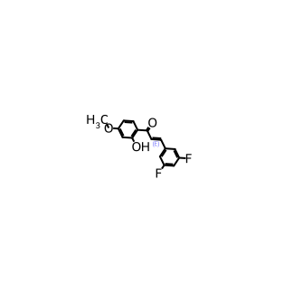 COc1ccc(C(=O)/C=C/c2cc(F)cc(F)c2)c(O)c1